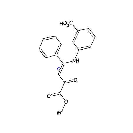 CC(C)OC(=O)C(=O)/C=C(\Nc1cccc(C(=O)O)c1)c1ccccc1